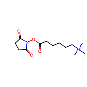 C[N+](C)(C)CCCCCC(=O)ON1C(=O)CCC1=O